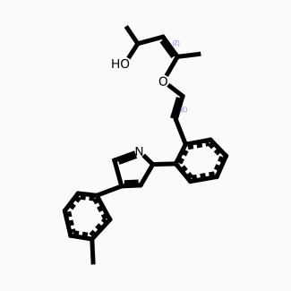 C/C(=C/C(C)O)O/C=C/c1ccccc1C1C=C(c2cccc(C)c2)C=N1